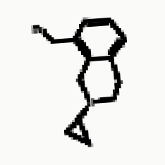 CC(C)Cc1cccc2c1CN(C1CC1)CC2